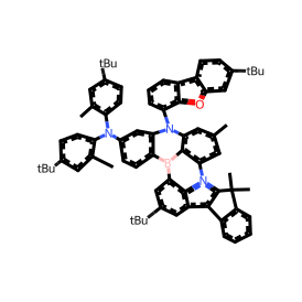 Cc1cc2c3c(c1)-n1c4c(c5cc(C(C)(C)C)cc(c51)B3c1ccc(N(c3ccc(C(C)(C)C)cc3C)c3ccc(C(C)(C)C)cc3C)cc1N2c1cccc2c1oc1cc(C(C)(C)C)ccc12)-c1ccccc1C4(C)C